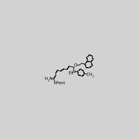 CCCCCC(N)=C\C=C/C=C/C=C/C(OCCc1cccc2ccccc12)N(CC)c1ccc(C)cc1